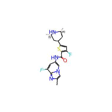 Cc1cn2cc(NC(=O)c3sc(C4C[C@@H](C)N[C@@H](C)C4)cc3F)cc(F)c2n1